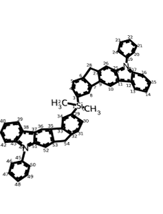 C[Si](C)(c1ccc2c(c1)-c1cc3c4ccccc4n(-c4ccccc4)c3cc1C2)c1ccc2c(c1)-c1cc3c4ccccc4n(-c4ccccc4)c3cc1C2